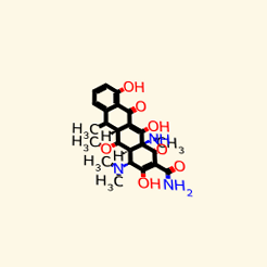 CN[C@@]12C(=O)C(C(N)=O)=C(O)[C@@H](N(C)C)[C@H]1C(OC)[C@H]1C(=C2O)C(=O)c2c(O)cccc2C1C